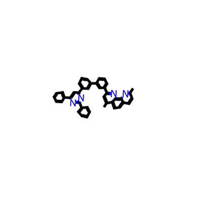 Cc1ccc2ccc3c(C)cc(-c4cccc(-c5cccc(-c6cc(-c7ccccc7)nc(-c7ccccc7)n6)c5)c4)nc3c2n1